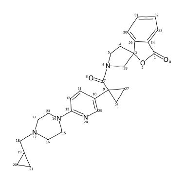 O=C1OC2(CCN(C(=O)C3(c4ccc(N5CCN(CC6CC6)CC5)nc4)CC3)C2)c2ccccc21